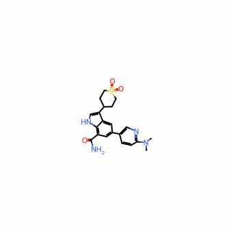 CN(C)c1ccc(-c2cc(C(N)=O)c3[nH]cc(C4CCS(=O)(=O)CC4)c3c2)cn1